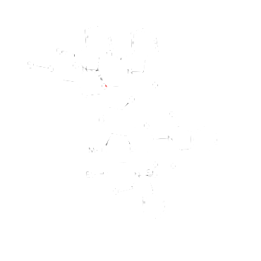 CCOCC(OC[C@H]1O[C@H](OC)[C@H](OC(COCC)N2C(=O)c3ccccc3C2=O)[C@@H](OC(COCC)N2C(=O)c3ccccc3C2=O)[C@@H]1OC(COCC)N1C(=O)c2ccccc2C1=O)N1C(=O)c2ccccc2C1=O